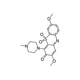 COC1=CC2=Nc3ccc(OC)cc3S(=O)(=O)C2=C(N2CCN(C)CC2)C1=O